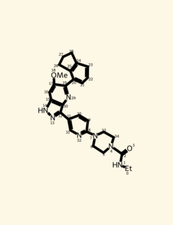 CCNC(=O)N1CCN(c2ccc(-c3n[nH]c4cc(OC)c(-c5cccc6c5CCC6)nc34)cn2)CC1